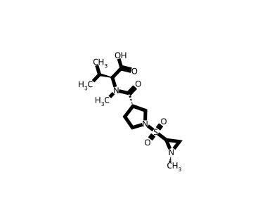 CC(C)[C@@H](C(=O)O)N(C)C(=O)[C@H]1CCN(S(=O)(=O)C2C[N@]2C)C1